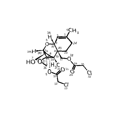 CC1=C[C@H]2O[C@@H]3[C@H](O)[C@@H](OC(=O)CCl)[C@](C)([C@@]2(COC(=O)CCl)CC1)[C@]31CO1